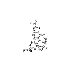 CCCC1(O)CC[C@@]2(Cc3ccc(NC(C)C)cc3)c3ccc(OC(=O)N(C)C)cc3CC[C@H]2C1